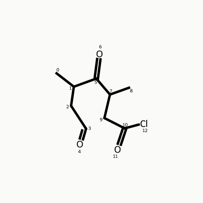 CC(CC=O)C(=O)C(C)CC(=O)Cl